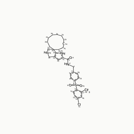 O=C(NCc1ccc(S(=O)(=O)c2ccc(Cl)cc2C(F)(F)F)cc1)c1cc2c([nH]1)C1(CCCCCCCCCC1)CNC2